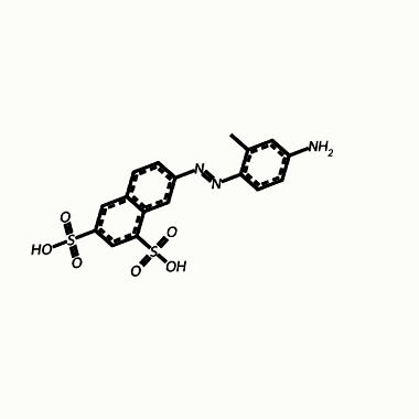 Cc1cc(N)ccc1N=Nc1ccc2cc(S(=O)(=O)O)cc(S(=O)(=O)O)c2c1